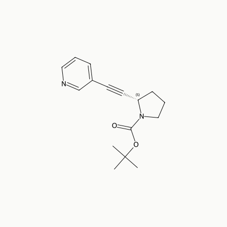 CC(C)(C)OC(=O)N1CCC[C@H]1C#Cc1cccnc1